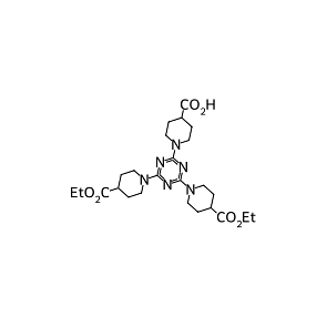 CCOC(=O)C1CCN(c2nc(N3CCC(C(=O)O)CC3)nc(N3CCC(C(=O)OCC)CC3)n2)CC1